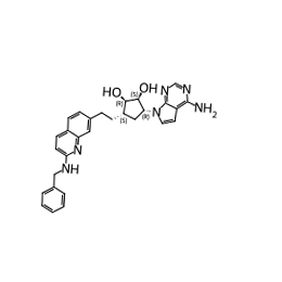 Nc1ncnc2c1ccn2[C@@H]1C[C@H](CCc2ccc3ccc(NCc4ccccc4)nc3c2)[C@@H](O)[C@H]1O